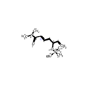 C=CC(C/C=C/C(=O)N(C)C)O[Si](C)(C)C(C)(C)C